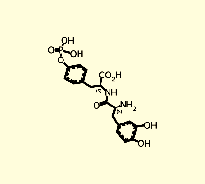 N[C@@H](Cc1ccc(O)c(O)c1)C(=O)N[C@@H](Cc1ccc(OP(=O)(O)O)cc1)C(=O)O